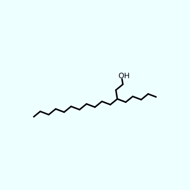 CCCCCCCCCCCC(CCO)CCCCC